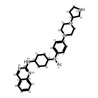 CC(=O)N(c1ccc(N2CCN(C3CCNC3)CC2)cc1)C1CCC(Nc2ncc3ccccc3n2)CC1